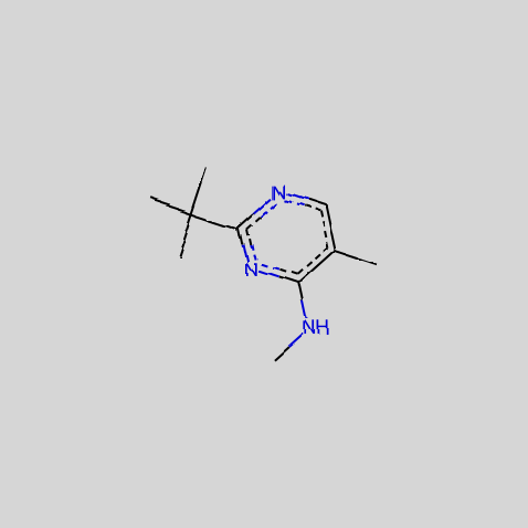 CNc1nc(C(C)(C)C)ncc1C